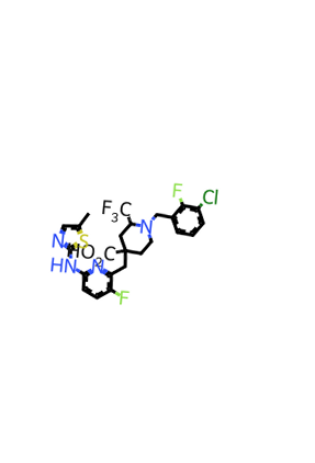 Cc1cnc(Nc2ccc(F)c(CC3(C(=O)O)CCN(Cc4cccc(Cl)c4F)C(C(F)(F)F)C3)n2)s1